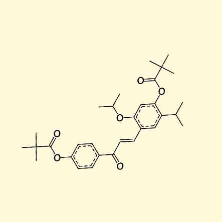 CC(C)Oc1cc(OC(=O)C(C)(C)C)c(C(C)C)cc1/C=C/C(=O)c1ccc(OC(=O)C(C)(C)C)cc1